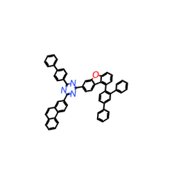 c1ccc(-c2ccc(-c3nc(-c4ccc5c(ccc6ccccc65)c4)nc(-c4ccc5c(c4)oc4cccc(-c6ccc(-c7ccccc7)cc6-c6ccccc6)c45)n3)cc2)cc1